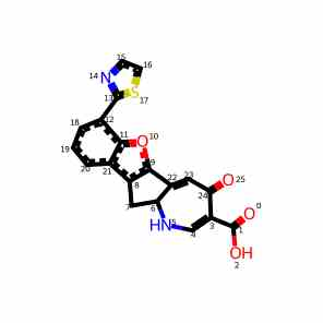 O=C(O)C1=CNC2Cc3c(oc4c(-c5nccs5)cccc34)C2=CC1=O